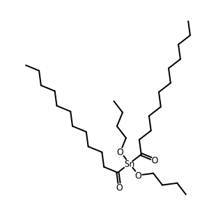 CCCCCCCCCCC[C](=O)[Sn]([O]CCCC)([O]CCCC)[C](=O)CCCCCCCCCCC